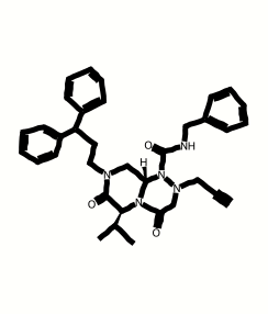 C#CCN1CC(=O)N2[C@@H](C(C)C)C(=O)N(CCC(c3ccccc3)c3ccccc3)C[C@@H]2N1C(=O)NCc1ccccc1